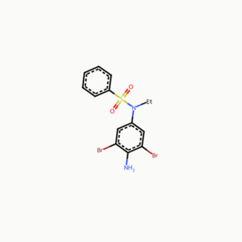 CCN(c1cc(Br)c(N)c(Br)c1)S(=O)(=O)c1ccccc1